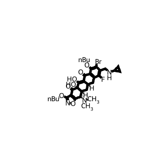 CCCCOc1noc2c1C(=O)[C@@]1(O)C(O)=C3C(=O)c4c(c(F)c(CNC5CC5)c(Br)c4OCCCC)C[C@H]3C[C@H]1[C@@H]2N(C)C